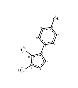 Cc1ccc(-c2cnn(C)c2C)cc1